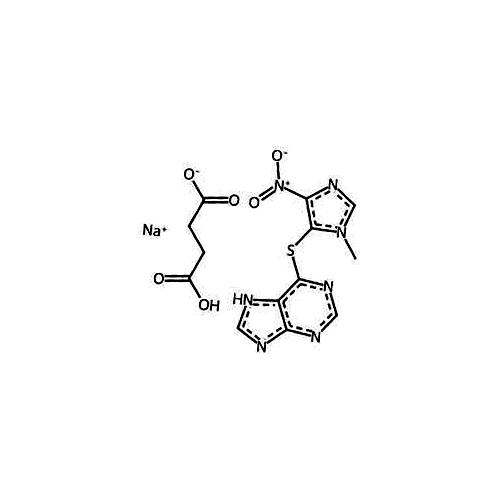 Cn1cnc([N+](=O)[O-])c1Sc1ncnc2nc[nH]c12.O=C([O-])CCC(=O)O.[Na+]